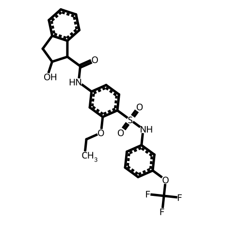 CCOc1cc(NC(=O)C2c3ccccc3CC2O)ccc1S(=O)(=O)Nc1cccc(OC(F)(F)F)c1